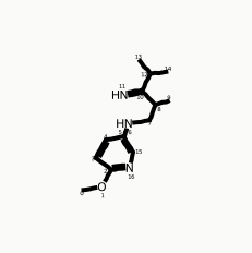 COc1ccc(NCC(C)C(=N)C(C)C)cn1